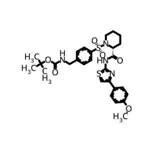 COc1ccc(-c2csc(NC(=O)[C@H]3CCCCN3S(=O)(=O)c3ccc(CNC(=O)OC(C)(C)C)cc3)n2)cc1